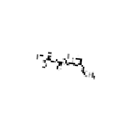 C=CCC(CC)CCCOC(=O)CCC(=O)C(=O)O